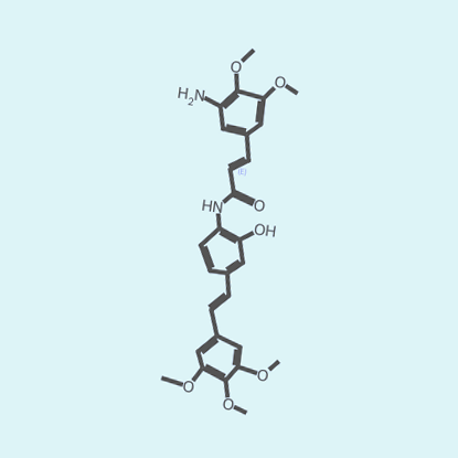 COc1cc(/C=C/C(=O)Nc2ccc(C=Cc3cc(OC)c(OC)c(OC)c3)cc2O)cc(N)c1OC